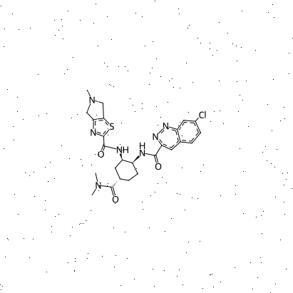 CN1Cc2nc(C(=O)N[C@@H]3C[C@@H](C(=O)N(C)C)CC[C@@H]3NC(=O)c3cc4ccc(Cl)cc4nn3)sc2C1